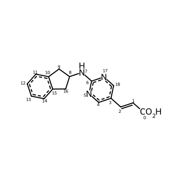 O=C(O)/C=C/c1cnc(NC2Cc3ccccc3C2)nc1